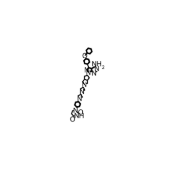 Nc1ncnc2c1c(-c1ccc(Oc3ccccc3)cc1)nn2C1CC2CN(C3CN(C4CN(c5ccc(N6CCC(=O)NC6=O)cc5)C4)C3)CC2C1